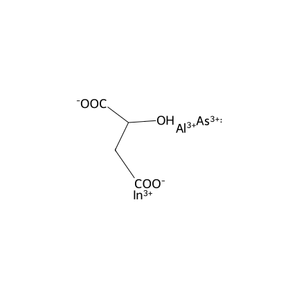 O=C([O-])CC(O)C(=O)[O-].[Al+3].[As+3].[In+3]